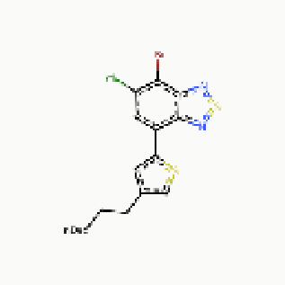 CCCCCCCCCCCCc1csc(-c2cc(Cl)c(Br)c3nsnc23)c1